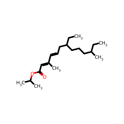 CCC(C)CCCC(CC)C/C=C/C(C)=C/C(=O)OC(C)C